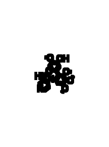 COc1ccc(-c2c(-n3c(=O)[nH]c4cnccc43)cc(OC)c(OC)c2OC)cc1O